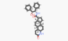 C[C@]12CCC(=O)NC1CC[C@@H]1[C@H]2CC[C@]2(C)C(C(=O)N[C@@H](c3ccccc3)[C@@H](O)c3ccccc3)CC[C@@H]12